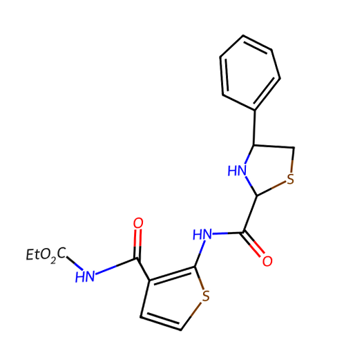 CCOC(=O)NC(=O)c1ccsc1NC(=O)C1NC(c2ccccc2)CS1